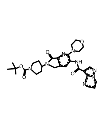 CC(C)(C)OC(=O)N1CCC(N2Cc3cc(NC(=O)c4cnn5cccnc45)c(N4CCOCC4)nc3C2=O)CC1